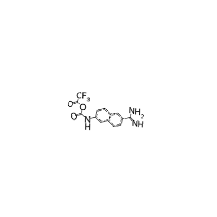 N=C(N)c1ccc2cc(NC(=O)OC(=O)C(F)(F)F)ccc2c1